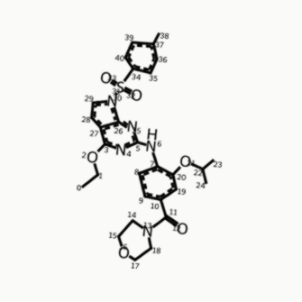 CCOc1nc(Nc2ccc(C(=O)N3CCOCC3)cc2OC(C)C)nc2c1ccn2S(=O)(=O)c1ccc(C)cc1